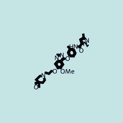 COc1cc2c(Oc3ccc(NC(=O)c4cc(C)nn4C)c(C)c3)ncnc2cc1OCCCN1CCC2(CC1)COC2